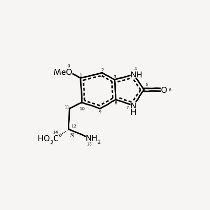 COc1cc2[nH]c(=O)[nH]c2cc1C[C@H](N)C(=O)O